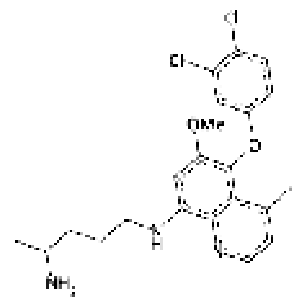 COc1cc(NCCCC(C)N)c2nccc(C)c2c1Oc1ccc(Cl)c(Cl)c1